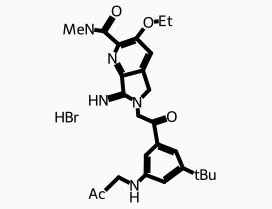 Br.CCOc1cc2c(nc1C(=O)NC)C(=N)N(CC(=O)c1cc(NCC(C)=O)cc(C(C)(C)C)c1)C2